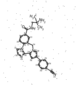 CC(C)(N)CNC(=O)c1ccc2c(c1)Cn1cc(-c3ccc(C#N)cc3)cc1-c1nccn1-2